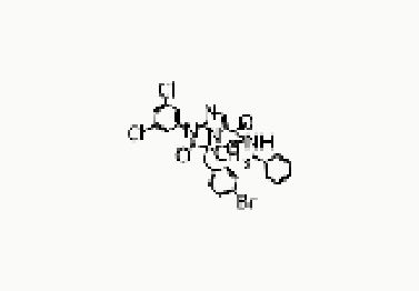 C[C@@]1(Cc2ccc(Br)cc2)C(=O)N(c2cc(Cl)cc(Cl)c2)c2ncc(S(=O)(=O)NCc3ccccc3)n21